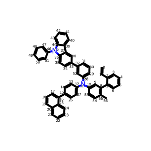 C=Cc1ccccc1-c1cc(N(c2ccc(-c3cccc4ccccc34)cc2)c2cccc(-c3ccc4c(c3)c3ccccc3n4-c3ccccc3)c2)ccc1C